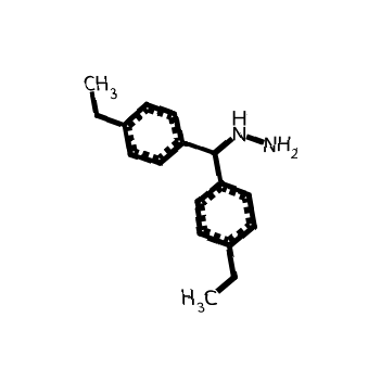 CCc1ccc(C(NN)c2ccc(CC)cc2)cc1